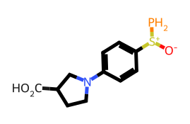 O=C(O)C1CCN(c2ccc([S+]([O-])P)cc2)C1